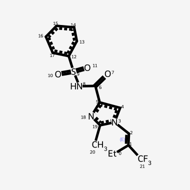 CC/C(=C\n1cc(C(=O)NS(=O)(=O)c2ccccc2)nc1C)C(F)(F)F